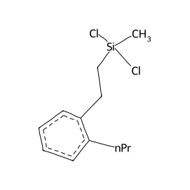 CCCc1ccccc1CC[Si](C)(Cl)Cl